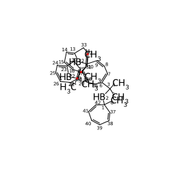 CC1(BC(C)(C)/C2=C/C=C\C(C)(B/C3=C\C=C/C(C)(C(C)(C)B/C4=C\C=C/C/C=C\C4)/C=C\C3)/C=C\C2)C=CC=CC=C1